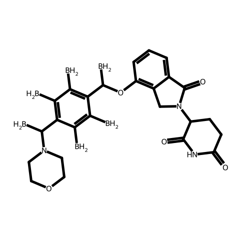 Bc1c(B)c(C(B)N2CCOCC2)c(B)c(B)c1C(B)Oc1cccc2c1CN(C1CCC(=O)NC1=O)C2=O